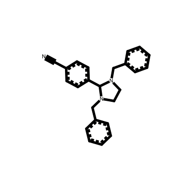 N#Cc1ccc(C2N(Cc3ccccc3)CCN2Cc2ccccc2)cc1